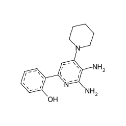 Nc1nc(-c2ccccc2O)cc(N2CCCCC2)c1N